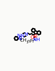 CCCNC(=O)OC1(CCCCN2CCN(c3nc4ccccc4n3C)CC2)c2ccccc2-c2ccccc21